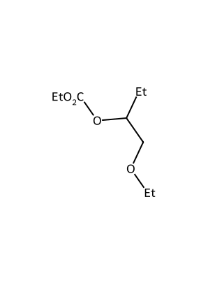 CCOCC(CC)OC(=O)OCC